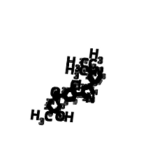 C[C@@H]1CCN(C(=O)c2ccc(-c3cncc(-c4ccnc(C(C)(C)C)c4)c3)c(Cl)c2)C[C@H]1O